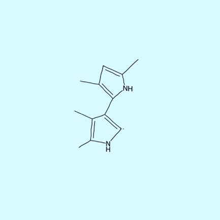 Cc1cc(C)c(-c2[c][nH]c(C)c2C)[nH]1